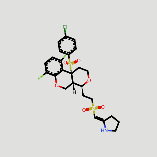 O=S(=O)(/C=C1\CCCN1)CC[C@@H]1OCC[C@@]2(S(=O)(=O)c3ccc(Cl)cc3)c3c(F)ccc(F)c3OC[C@@H]12